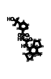 CC(C)(O)c1cccc(S(=O)(=O)NC(=O)Nc2c3c(c(F)c4c2CCC4)CCC3)c1